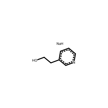 OCCc1cccnc1.[NaH]